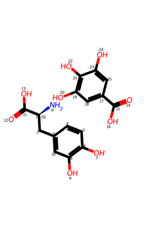 N[C@@H](Cc1ccc(O)c(O)c1)C(=O)O.O=C(O)c1cc(O)c(O)c(O)c1